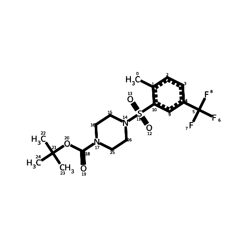 Cc1ccc(C(F)(F)F)cc1S(=O)(=O)N1CCN(C(=O)OC(C)(C)C)CC1